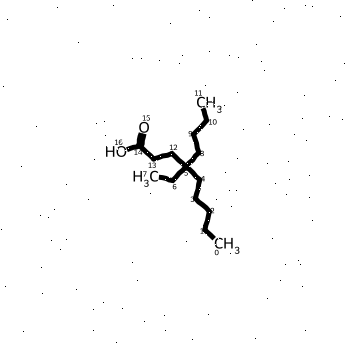 CCCCCC(CC)(CCCC)CCC(=O)O